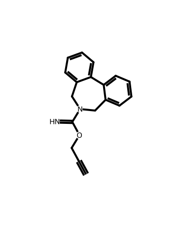 C#CCOC(=N)N1Cc2ccccc2-c2ccccc2C1